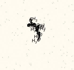 COCCCn1c([C@@H]2CCCN(C(=O)C[C@@H](Cc3ccc(-c4ccc(C(=O)NCCOC)cc4)cc3)N(C(=O)O)C(C)(C)C)C2)nc2ccccc21